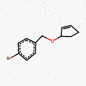 Brc1ccc(COC2C=CCC2)cc1